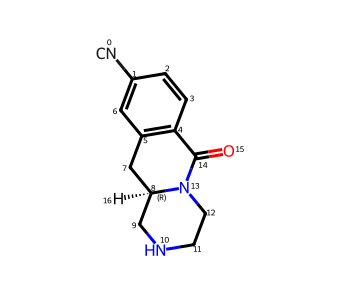 [C-]#[N+]c1ccc2c(c1)C[C@@H]1CNCCN1C2=O